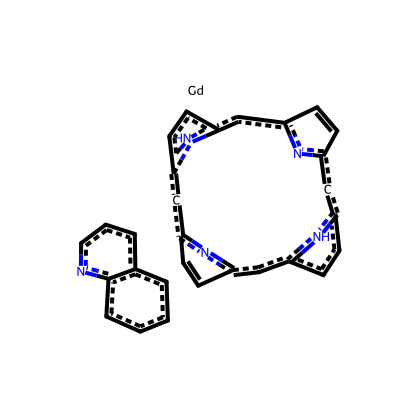 C1=Cc2cc3ccc(cc4nc(cc5ccc(cc1n2)[nH]5)C=C4)[nH]3.[Gd].c1ccc2ncccc2c1